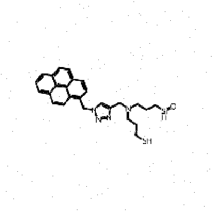 O=[SiH]CCCN(CCCS)Cc1cn(Cc2ccc3ccc4cccc5ccc2c3c45)nn1